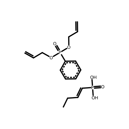 C=CCOP(=O)(OCC=C)c1ccccc1.CCC=CP(=O)(O)O